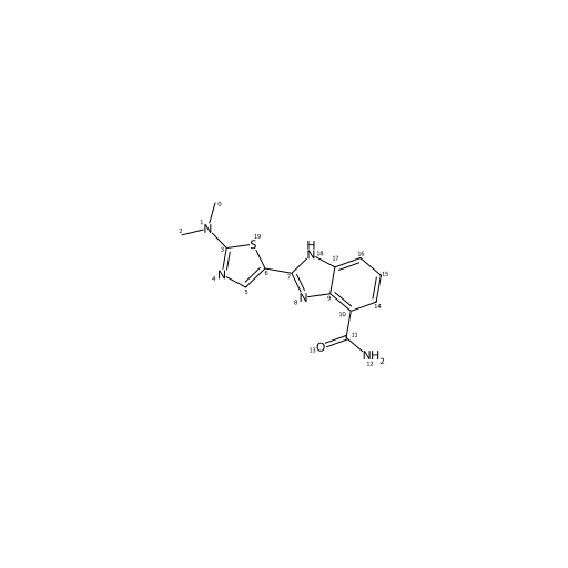 CN(C)c1ncc(-c2nc3c(C(N)=O)cccc3[nH]2)s1